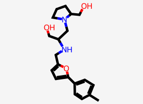 Cc1ccc(-c2ccc(CNC(CO)CN3CCCC3CO)o2)cc1